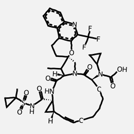 CC1[C@H]2C(=O)N[C@]3(C(=O)NS(=O)(=O)C4(C)CC4)C[C@H]3/C=C\CCCCC[C@H](N(C(=O)O)C3CC3)C(=O)N2C[C@@]12CCc1c(c(C(F)(F)F)nc3ccccc13)O2